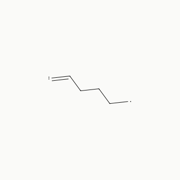 [C]=CCCC[CH2]